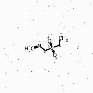 C=NCS(=O)(=O)CC